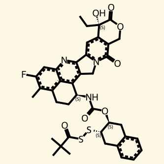 CC[C@@]1(O)C(=O)OCc2c1cc1n(c2=O)Cc2c-1nc1cc(F)c(C)c3c1c2[C@@H](NC(=O)O[C@H]1Cc2ccccc2C[C@@H]1SSC(=O)C(C)(C)C)CC3